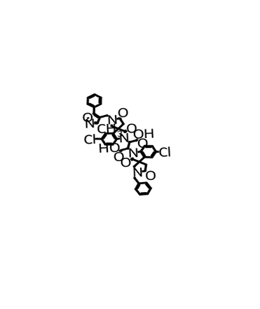 Cc1noc(-c2ccccc2)c1CN1CC2(CC1=O)C(=O)N(C(C(=O)O)C(C(=O)O)N1C(=O)C3(CC(=O)N(Cc4ccccc4)C3)c3cc(Cl)ccc31)c1ccc(Cl)cc12